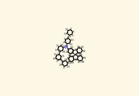 c1ccc(-c2ccc(N(c3cccc(-c4cccc(-c5ccccc5)c4)c3)c3ccc4c(c3)-c3ccccc3C43c4ccccc4-c4ccccc43)cc2)cc1